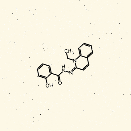 CCn1c(=NNC(=O)c2ccccc2O)ccc2ccccc21